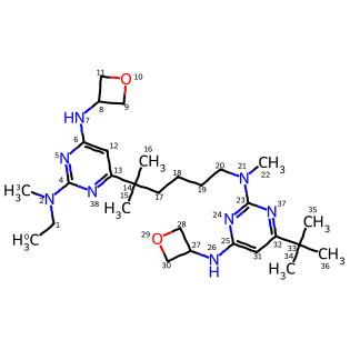 CCN(C)c1nc(NC2COC2)cc(C(C)(C)CCCCN(C)c2nc(NC3COC3)cc(C(C)(C)C)n2)n1